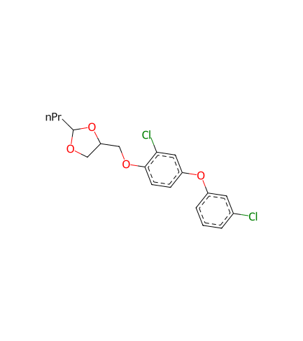 CCCC1OCC(COc2ccc(Oc3cccc(Cl)c3)cc2Cl)O1